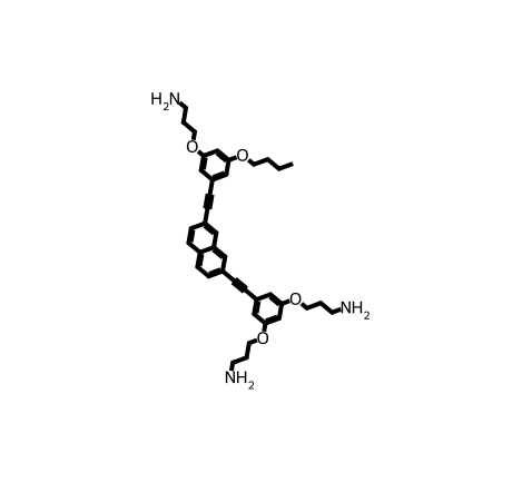 CCCCOc1cc(C#Cc2ccc3ccc(C#Cc4cc(OCCCN)cc(OCCCN)c4)cc3c2)cc(OCCCN)c1